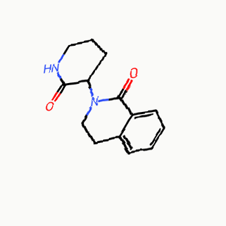 O=C1NCCCC1N1CCc2ccccc2C1=O